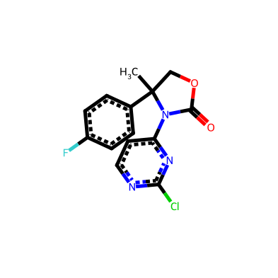 CC1(c2ccc(F)cc2)COC(=O)N1c1ccnc(Cl)n1